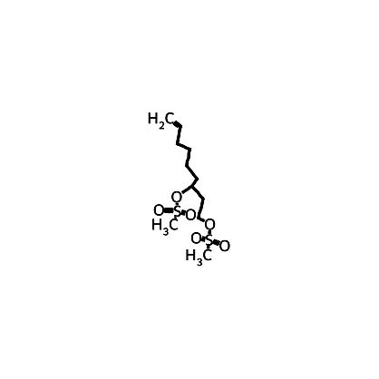 C=CCCCCC(CCOS(C)(=O)=O)OS(C)(=O)=O